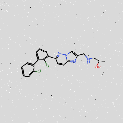 C[C@H](O)CNCc1cn2nc(-c3cccc(-c4ccccc4Cl)c3Cl)ccc2n1